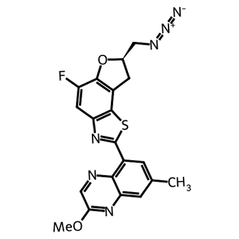 COc1cnc2c(-c3nc4cc(F)c5c(c4s3)C[C@H](CN=[N+]=[N-])O5)cc(C)cc2n1